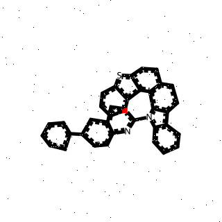 c1ccc(-c2ccc3nc(-n4c5ccccc5c5ccc6ccc7sc8ccccc8c7c6c54)ncc3c2)cc1